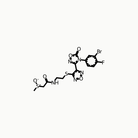 C[S+]([O-])CC(=O)NCCSc1nonc1-c1noc(=O)n1-c1ccc(F)c(Br)c1